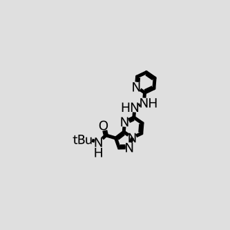 CC(C)(C)NC(=O)c1cnn2ccc(NNc3ccccn3)nc12